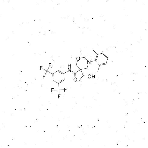 Cc1cccc(C)c1N1COCC(C(=O)Nc2cc(C(F)(F)F)cc(C(F)(F)F)c2)(C(C)O)C1